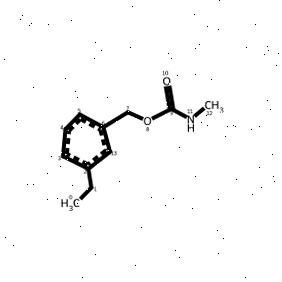 CCc1cccc(COC(=O)NC)c1